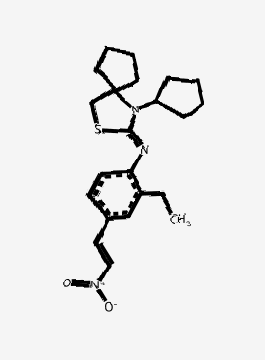 CCc1cc(/C=C/[N+](=O)[O-])ccc1N=C1SCC2(CCCC2)N1C1CCCC1